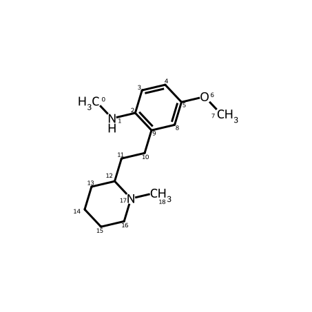 CNc1ccc(OC)cc1CCC1CCCCN1C